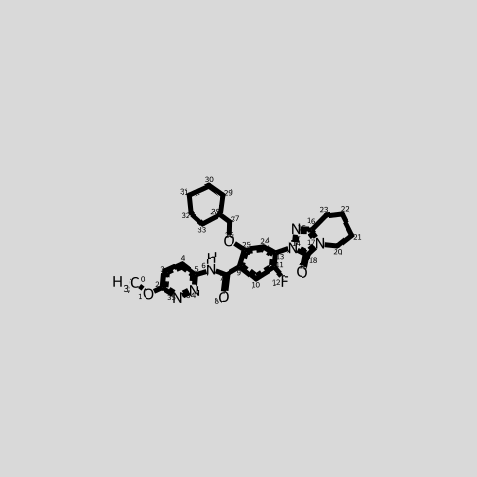 COc1ccc(NC(=O)c2cc(F)c(-n3nc4n(c3=O)CCCC4)cc2OCC2CCCCC2)nn1